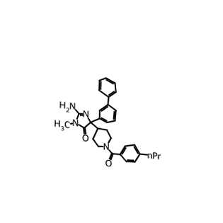 CCCc1ccc(C(=O)N2CCC(C3(c4cccc(-c5ccccc5)c4)N=C(N)N(C)C3=O)CC2)cc1